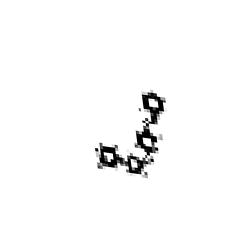 c1ccc(CSc2ccc(OC3CCN(c4ccncc4)C3)nc2)cc1